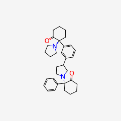 O=C1CCCC[C@]1(c1ccccc1)N1CCC(c2cccc([C@@]3(N4CCCC4)CCCCC3=O)c2)C1